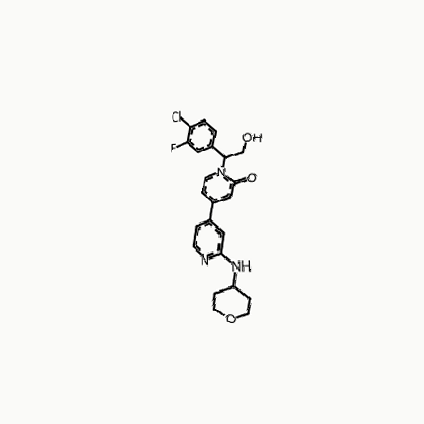 O=c1cc(-c2ccnc(NC3CCOCC3)c2)ccn1C(CO)c1ccc(Cl)c(F)c1